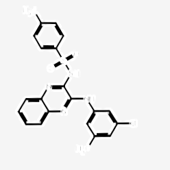 Cc1ccc(S(=O)(=O)Nc2nc3ccccc3nc2Nc2cc(C)cc(Cl)c2)cc1